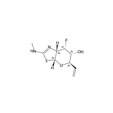 C=C[C@H]1O[C@@H]2SC(NC)=N[C@@H]2[C@H](F)[C@@H]1O